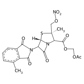 CC(=O)OCOC(=O)C1N2C(=O)C(N3C(=O)c4cccc(C)c4C3=O)[C@@H]2S[C@@]1(C)CO[N+](=O)[O-]